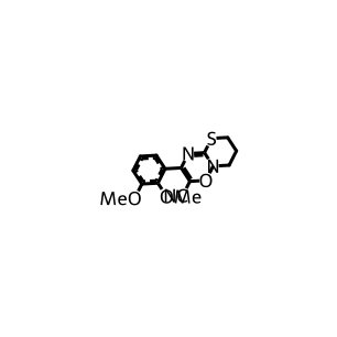 COc1cccc(C2=C(C#N)ON3CCCSC3=N2)c1OC